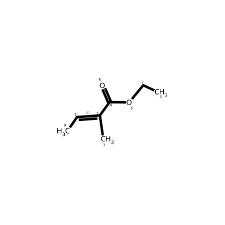 C/C=C(\C)C(=O)OCC